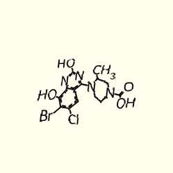 CC1CN(C(=O)O)CCN1c1nc(O)nc2c(O)c(Br)c(Cl)cc12